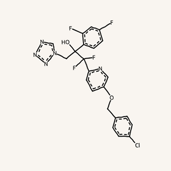 OC(Cn1cnnn1)(c1ccc(F)cc1F)C(F)(F)c1ccc(OCc2ccc(Cl)cc2)cn1